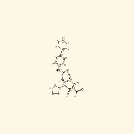 CC(=O)c1c(C)c2cnc(Nc3ccc(C4=CCNCC4)cn3)nc2n(C2CCCC2)c1=O